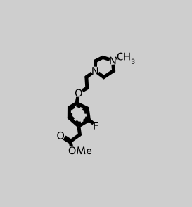 COC(=O)Cc1ccc(OCCN2CCN(C)CC2)cc1F